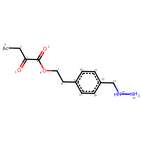 CC(=O)CC(=O)C(=O)OCCc1ccc(CNN)cc1